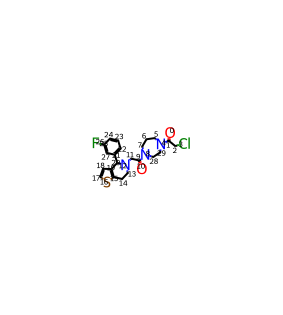 O=C(CCl)N1CCCN(C(=O)CN2CCc3sccc3C2c2cccc(F)c2)CC1